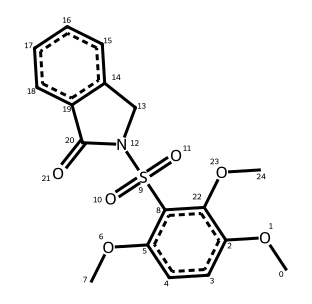 COc1ccc(OC)c(S(=O)(=O)N2Cc3ccccc3C2=O)c1OC